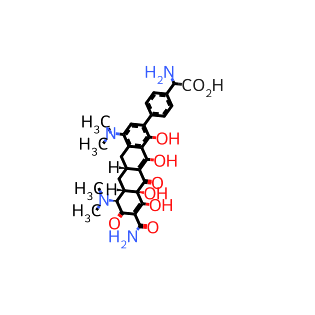 CN(C)c1cc(-c2ccc(C(N)C(=O)O)cc2)c(O)c2c1C[C@H]1C[C@H]3[C@H](N(C)C)C(=O)C(C(N)=O)=C(O)[C@@]3(O)C(=O)C1=C2O